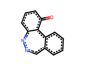 O=c1cccc2nncc3ccccc3c1-2